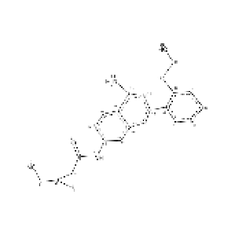 N#CCC1CC1C(=O)Nc1cc2cc(-c3cnccc3CCO)nc(N)c2cn1